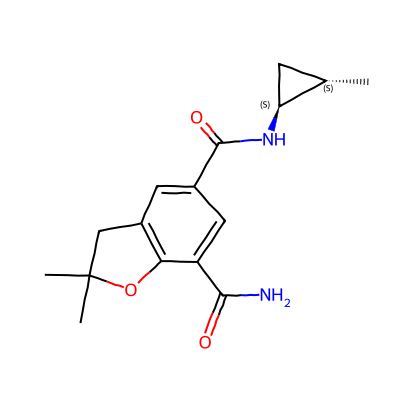 C[C@H]1C[C@@H]1NC(=O)c1cc2c(c(C(N)=O)c1)OC(C)(C)C2